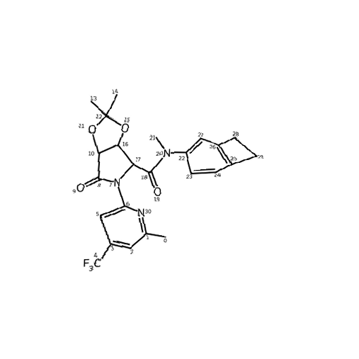 Cc1cc(C(F)(F)F)cc(N2C(=O)C3OC(C)(C)OC3C2C(=O)N(C)c2ccc3c(c2)CC3)n1